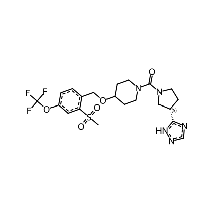 CS(=O)(=O)c1cc(OC(F)(F)F)ccc1COC1CCN(C(=O)N2CC[C@H](c3ncn[nH]3)C2)CC1